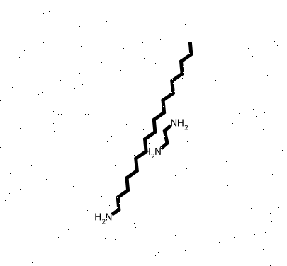 CCCCCCCCCCCCCCCCCCN.NCCN